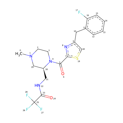 CN1CCN(C(=O)c2nc(Cc3ccccc3F)cs2)[C@@H](CNC(=O)C(F)(F)F)C1